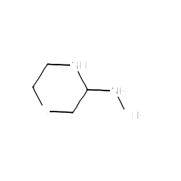 O=CNC1CSCCN1